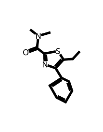 CCc1sc(C(=O)N(C)C)nc1-c1ccccc1